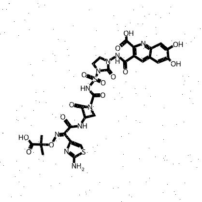 CC(C)(O/N=C(/C(=O)NC1CN(C(=O)NS(=O)(=O)N2CCN(NC(=O)c3cc4cc(O)c(O)cc4nc3C(=O)O)C2=O)C1=O)c1csc(N)n1)C(=O)O